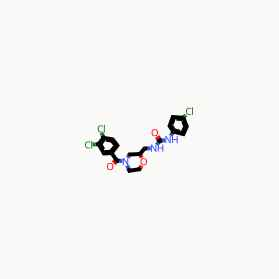 O=C(NCC1CN(C(=O)c2ccc(Cl)c(Cl)c2)CCO1)Nc1ccc(Cl)cc1